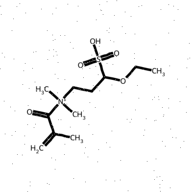 C=C(C)C(=O)[N+](C)(C)CCC(OCC)S(=O)(=O)O